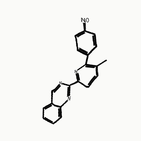 Cc1ccc(-c2ncc3ccccc3n2)nc1-c1ccc(N=O)cc1